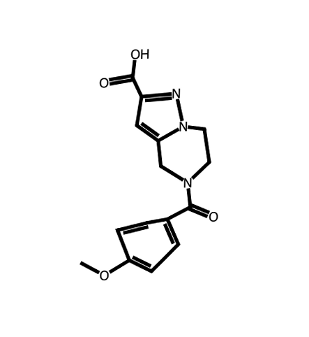 COc1ccc(C(=O)N2CCn3nc(C(=O)O)cc3C2)cc1